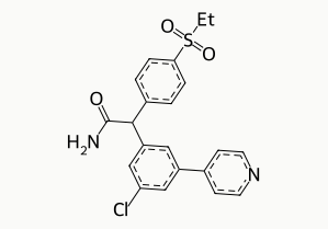 CCS(=O)(=O)c1ccc(C(C(N)=O)c2cc(Cl)cc(-c3ccncc3)c2)cc1